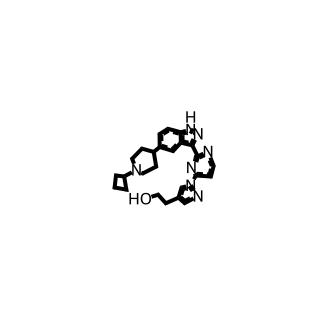 OCCc1cnn(-c2ccnc(-c3n[nH]c4ccc(C5CCN(C6CCC6)CC5)cc34)n2)c1